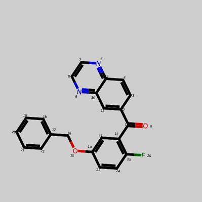 O=C(c1ccc2nccnc2c1)c1cc(OCc2ccccc2)ccc1F